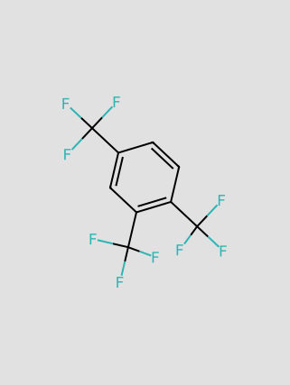 FC(F)(F)c1ccc(C(F)(F)F)c(C(F)(F)F)c1